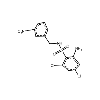 Nc1cc(Cl)cc(Cl)c1S(=O)(=O)NCc1cccc([N+](=O)[O-])c1